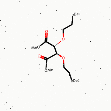 CCCCCCCCCCCCO[C@@H](C(=O)OC)[C@@H](OCCCCCCCCCCCC)C(=O)OC